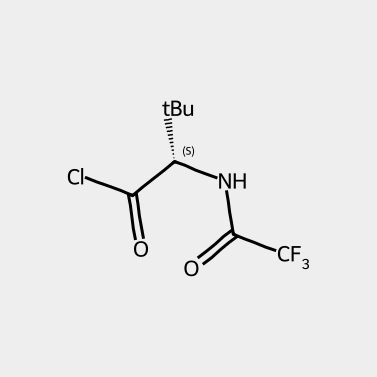 CC(C)(C)[C@H](NC(=O)C(F)(F)F)C(=O)Cl